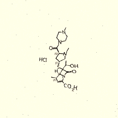 CC(O)C1(S[C@H]2C[C@@H](C(=O)N3CCN(C)CC3)N(C)C2)C(=O)N2C(C(=O)O)=C[C@@H](C)[C@H]21.Cl